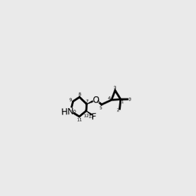 CC1(C)CC1CO[C@@H]1CCNC[C@@H]1F